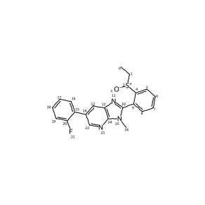 CC[S+]([O-])c1ccccc1-c1nc2cc(-c3ccccc3F)cnc2n1C